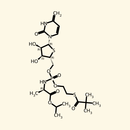 C=C1C=CN([C@@H]2S[C@H](COP(=O)(N[C@H](C)C(=O)OC(C)C)OCCSC(=O)C(C)(C)C)[C@@H](O)[C@H]2O)C(=O)N1